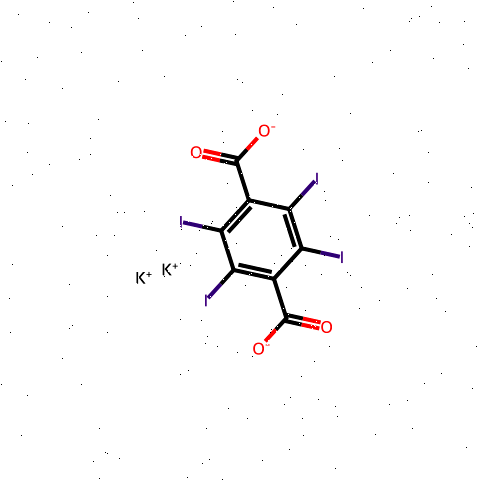 O=C([O-])c1c(I)c(I)c(C(=O)[O-])c(I)c1I.[K+].[K+]